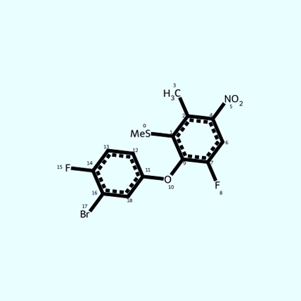 CSc1c(C)c([N+](=O)[O-])cc(F)c1Oc1ccc(F)c(Br)c1